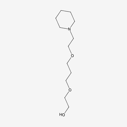 OCCOCCCOCCN1CCCCC1